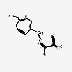 O=C(O)/C(Br)=N\Nc1ccc(Cl)nn1